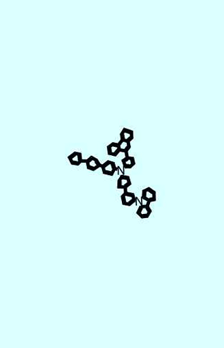 c1ccc(-c2ccc(-c3ccc(N(c4ccc(-c5cccc(-n6c7ccccc7c7ccccc76)c5)cc4)c4cccc(-c5cc6ccccc6c6ccccc56)c4)cc3)cc2)cc1